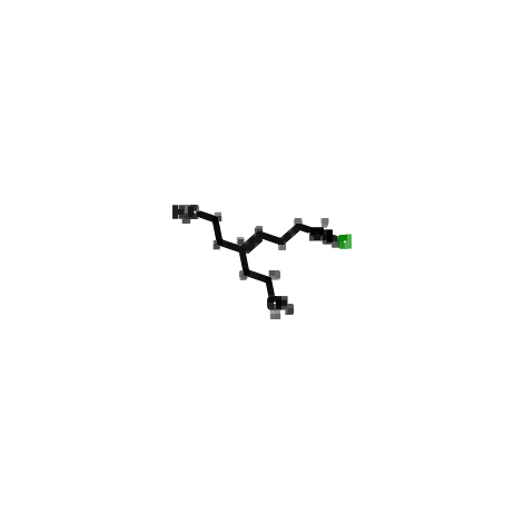 CCCC(=CC[CH2][Mg][Cl])CCC